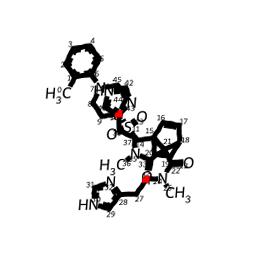 Cc1ccccc1N1CCN(S(=O)(=O)CC23C=CC(CC2)C3(C(=O)N(C)CCc2c[nH]cn2)C(=O)N(C)CCc2c[nH]cn2)CC1